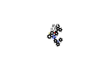 C=c1c(C)c(/C=C\C)c2ccccc2/c1=C/C=C/C1C=Cc2sc3c(c2C1)=C(c1nc(-c2ccccc2)nc(-c2ccc4c5ccccc5n(-c5ccccc5)c4c2)n1)CC=CC=3